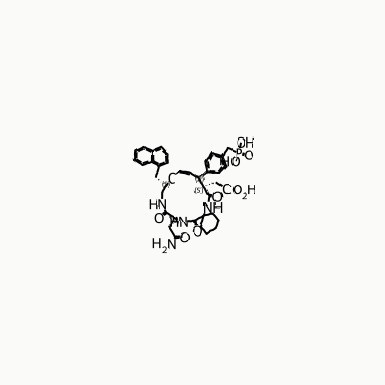 NC(=O)C[C@@H]1NC(=O)C2(CCCCC2)NC(=O)[C@@H](CC(=O)O)[C@H](c2ccc(CP(=O)(O)O)cc2)C=CC[C@@H](Cc2cccc3ccccc23)CNC1=O